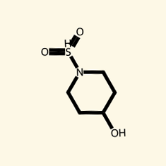 O=[SH](=O)N1CCC(O)CC1